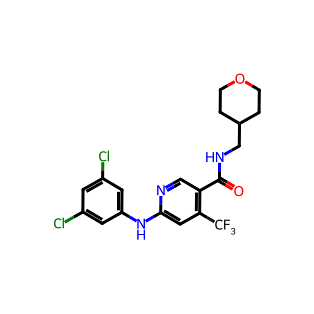 O=C(NCC1CCOCC1)c1cnc(Nc2cc(Cl)cc(Cl)c2)cc1C(F)(F)F